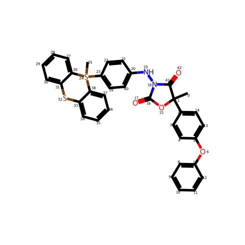 CC1(c2ccc(Oc3ccccc3)cc2)OC(=O)N(Nc2ccc(S3(C)c4ccccc4Sc4ccccc43)cc2)C1=O